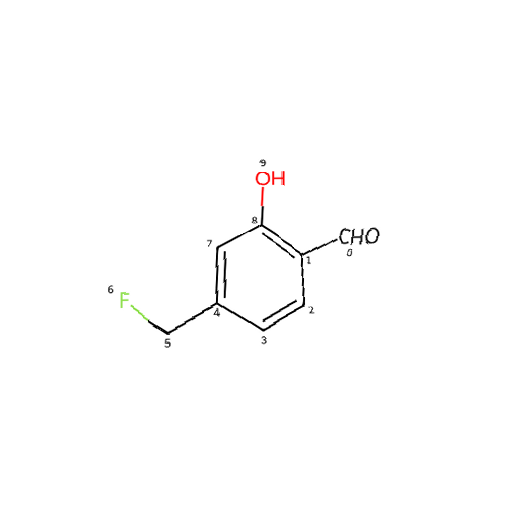 O=Cc1ccc(CF)cc1O